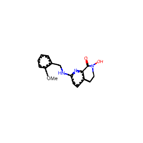 COc1ccccc1CNc1ccc2c(n1)C(=O)N(O)CC2